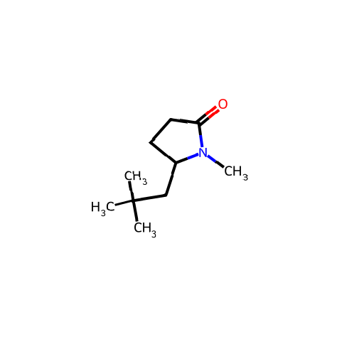 CN1C(=O)CCC1CC(C)(C)C